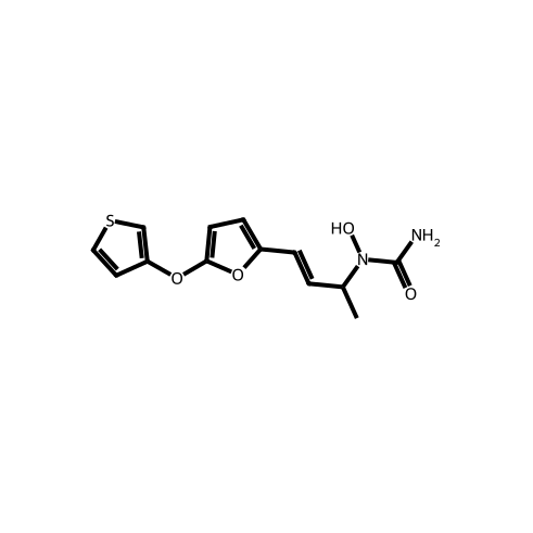 CC(C=Cc1ccc(Oc2ccsc2)o1)N(O)C(N)=O